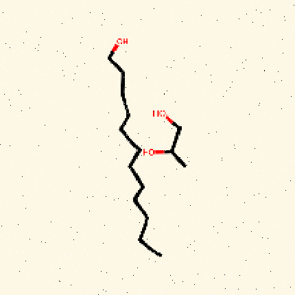 CC(O)CO.CCCCCCCCCCCCO